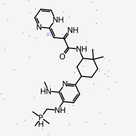 CNc1nc(C2CCC(C)(C)C(NC(=O)C(=N)/C=C3/N=CC=CN3)C2)ccc1NC[PH](C)(C)C